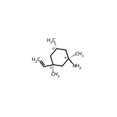 C=C[C@@]1(C)C[C@H](C)C[C@@](C)(N)C1